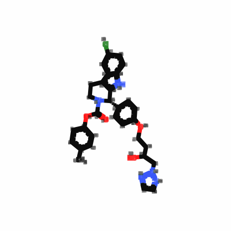 Cc1ccc(OC(=O)N2CCc3c([nH]c4ccc(Cl)cc34)[C@@H]2c2ccc(OCCC(O)Cn3nccn3)cc2)cc1